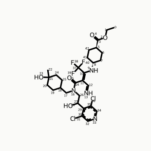 CCOC(=O)[C@H]1CC[C@H](N/C(=C(\C=N)C(=O)N(CC2CCC(C)(O)CC2)CC(O)c2c(Cl)cncc2Cl)C(F)(F)F)CC1